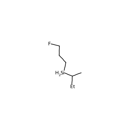 CCC(C)[SiH2]CCCF